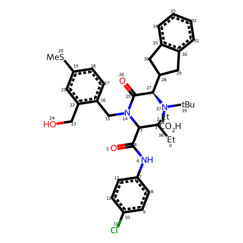 CCC(CC)C(C(=O)Nc1ccc(Cl)cc1)N(Cc1ccc(SC)cc1CO)C(=O)[C@@H](C1Cc2ccccc2C1)N(C(=O)O)C(C)(C)C